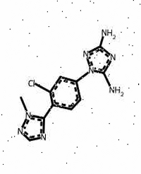 Cn1ncnc1-c1ccc(-n2nc(N)nc2N)cc1Cl